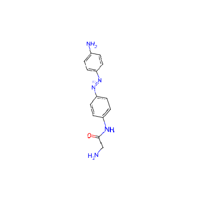 NCC(=O)Nc1ccc(/N=N/c2ccc(N)cc2)cc1